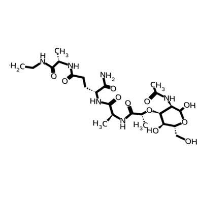 [CH2]CNC(=O)[C@H](C)NC(=O)CC[C@@H](NC(=O)[C@H](C)NC(=O)[C@@H](C)O[C@@H]1[C@H](O)[C@@H](CO)OC(O)[C@@H]1NC(C)=O)C(N)=O